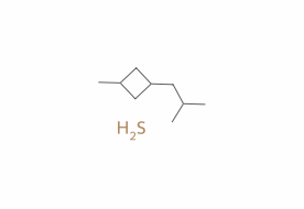 CC(C)CC1CC(C)C1.S